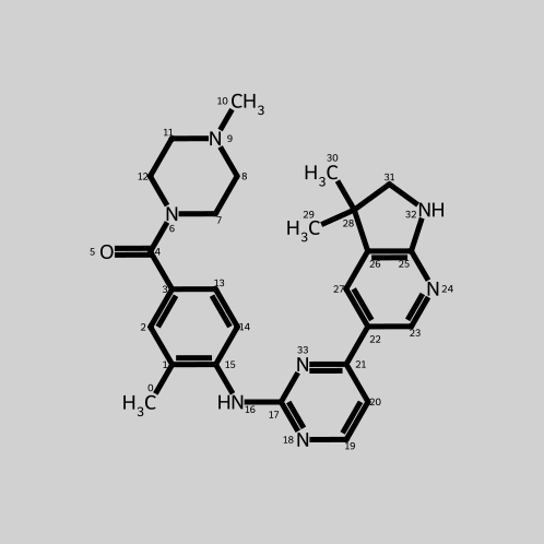 Cc1cc(C(=O)N2CCN(C)CC2)ccc1Nc1nccc(-c2cnc3c(c2)C(C)(C)CN3)n1